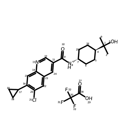 CC(C)(O)[C@H]1CC[C@H](NC(=O)c2cnc3cc(C4CC4)c(Cl)cc3c2)CC1.O=C(O)C(F)(F)F